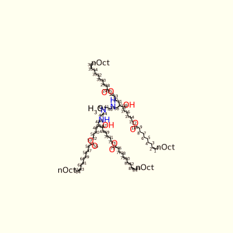 CCCCCCCC/C=C\CCCCCCCC(=O)OCCCCCC(O)C(CCCCOC(=O)CCCCCCC/C=C\CCCCCCCC)CNCCN(C)CCNCC(CCCCOC(=O)CCCCCCC/C=C\CCCCCCCC)C(O)CCCCCOC(=O)CCCCCCC/C=C\CCCCCCCC